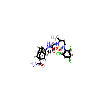 CC1CCN(c2c(Cl)cc(Cl)cc2Cl)S(=O)(=O)N1CC(=O)N[C@H]1C2CC3CC1C[C@](C(N)=O)(C3)C2